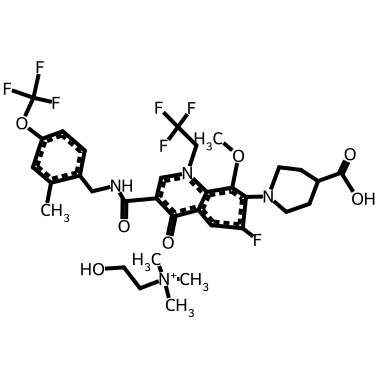 COc1c(N2CCC(C(=O)O)CC2)c(F)cc2c(=O)c(C(=O)NCc3ccc(OC(F)(F)F)cc3C)cn(CC(F)(F)F)c12.C[N+](C)(C)CCO